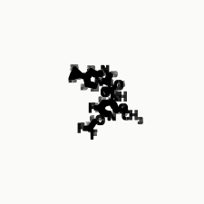 COc1nc(OCC(F)F)c(F)cc1NS(=O)(=O)c1cnc2cc(C3CC3)ccn12